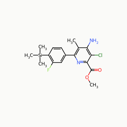 COC(=O)c1nc(-c2ccc([Si](C)(C)C)c(F)c2)c(C)c(N)c1Cl